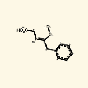 CCOC(Cc1ccccc1)=NCC(=O)O